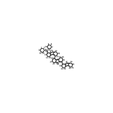 c1ccc(N(c2ccccc2)c2cccc3c2oc2cccc(-c4cccc5sc6c(-c7cccc8c7sc7ccccc78)cccc6c45)c23)cc1